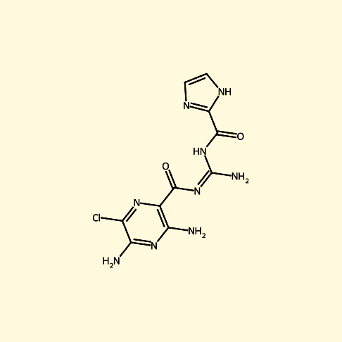 N/C(=N/C(=O)c1nc(Cl)c(N)nc1N)NC(=O)c1ncc[nH]1